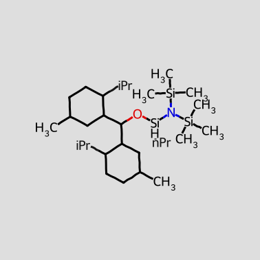 CCC[SiH](OC(C1CC(C)CCC1C(C)C)C1CC(C)CCC1C(C)C)N([Si](C)(C)C)[Si](C)(C)C